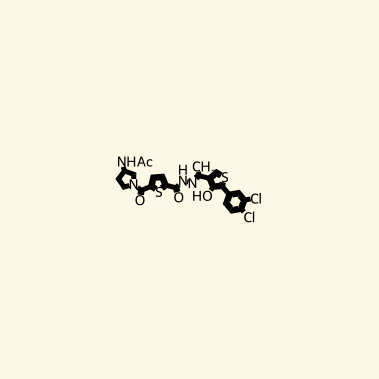 CC(=O)NC1CCN(C(=O)c2ccc(C(=O)NN=C(C)c3csc(-c4ccc(Cl)c(Cl)c4)c3O)s2)C1